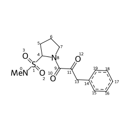 CNS(=O)(=O)C1CCCN1C(=O)C(=O)Cc1ccccc1